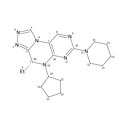 CC[C@@H]1c2nncn2-c2cnc(N3CCCCC3)nc2N1C1CCCC1